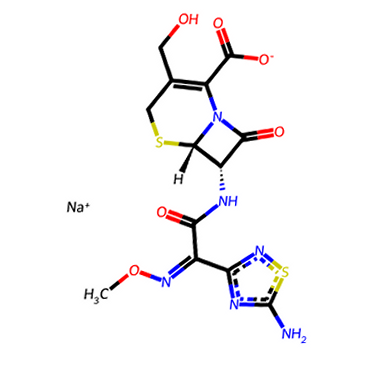 CO/N=C(\C(=O)N[C@H]1C(=O)N2C(C(=O)[O-])=C(CO)CS[C@@H]12)c1nsc(N)n1.[Na+]